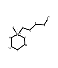 C[N+]1(CCCCI)CCCCC1